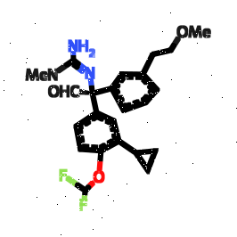 CN/C(N)=N\[C@](C=O)(c1cccc(CCOC)c1)c1ccc(OC(F)F)c(C2CC2)c1